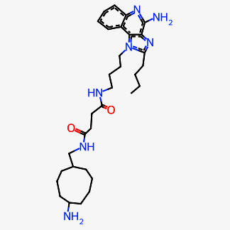 CCCCc1nc2c(N)nc3ccccc3c2n1CCCCNC(=O)CCC(=O)NCC1CCCCC(N)CCC1